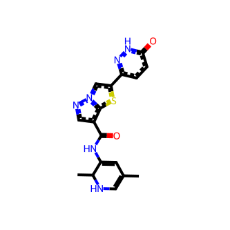 CC1=CNC(C)C(NC(=O)c2cnn3cc(-c4ccc(=O)[nH]n4)sc23)=C1